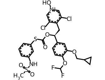 CS(=O)(=O)Nc1cccc(SC(=O)O[C@@H](Cc2c(Cl)c[n+](O)cc2Cl)c2ccc(OC(F)F)c(OCC3CC3)c2)c1